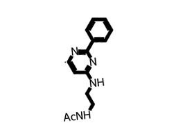 CC(=O)NCCNc1c[c]nc(-c2ccccc2)n1